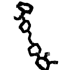 CN(c1ncccn1)[C@H]1CC[C@H](CCN2CCN(c3cccc(Cl)c3Cl)CC2)CC1